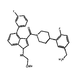 COCNC1C=C(C(=O)N2CCC(c3cc(CN)ccc3F)CC2)c2c(-c3cccc(F)c3)cccc21